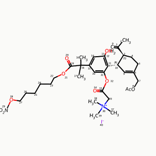 C=C(C)[C@H]1CCC(COC(C)=O)=C[C@@H]1c1c(O)cc(C(C)(C)C(=O)OCCCCCCO[N+](=O)[O-])cc1OC(=O)C[N+](C)(C)C.[I-]